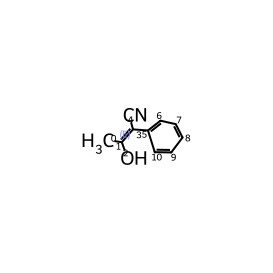 C/C(O)=C(\C#N)c1ccccc1